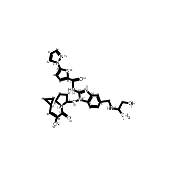 CC(CO)NCc1ccc2c(c1)nc(NC(=O)c1ccc(-n3cccn3)s1)n2CC1CCCN1C(=O)C(C#N)=CC1CC1